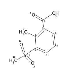 Cc1c(C(=O)O)cccc1S(C)(=O)=O